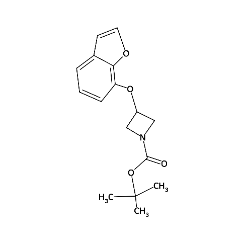 CC(C)(C)OC(=O)N1CC(Oc2cccc3ccoc23)C1